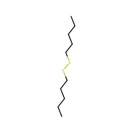 CCCCCSSCCCCC